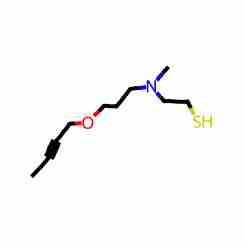 CC#CCOCCCN(C)CCS